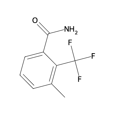 Cc1cccc(C(N)=O)c1C(F)(F)F